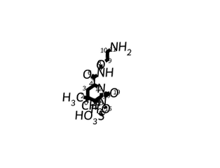 CC1(C)C[C@@H](C(=O)NOCCN)N2C[C@@H]1N(OS(=O)(=O)O)C2=O